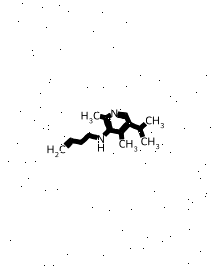 C=CCCNc1c(C)ncc(C(C)C)c1C